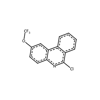 FC(F)(F)Oc1ccc2nc(Cl)c3ccccc3c2c1